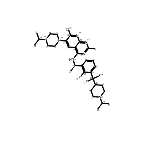 Cc1nc(N[C@H](C)c2cccc(C(F)(F)C3CCN(C(C)C)CC3)c2F)c2cc(N3CCN(C(C)C)CC3)c(Cl)nc2n1